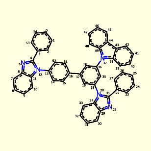 c1ccc(-c2nc3ccccc3n2-c2ccc(-c3cc(-n4c(-c5ccccc5)nc5ccccc54)cc(-n4c5ccccc5c5ccccc54)c3)cc2)cc1